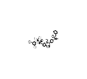 O=C(Cc1ccccc1)Nc1ccc(NC(=O)c2cc(NC(=O)[C@@H]3[C@@H](c4cc(Cl)cc(Cl)c4)C3(Cl)Cl)ccc2Cl)cc1